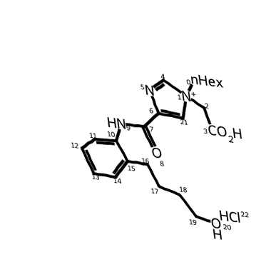 CCCCCC[N+]1(CC(=O)O)C=NC(C(=O)Nc2ccccc2CCCCO)=C1.Cl